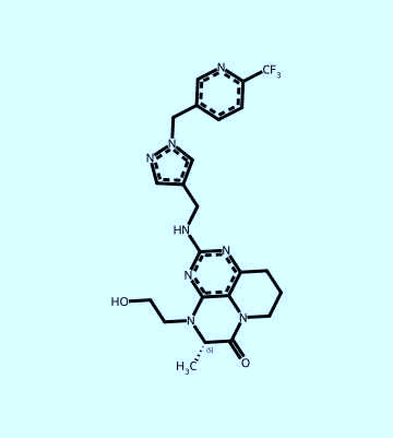 C[C@H]1C(=O)N2CCCc3nc(NCc4cnn(Cc5ccc(C(F)(F)F)nc5)c4)nc(c32)N1CCO